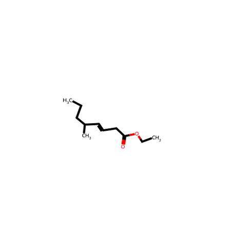 CCCC(C)C=CCC(=O)OCC